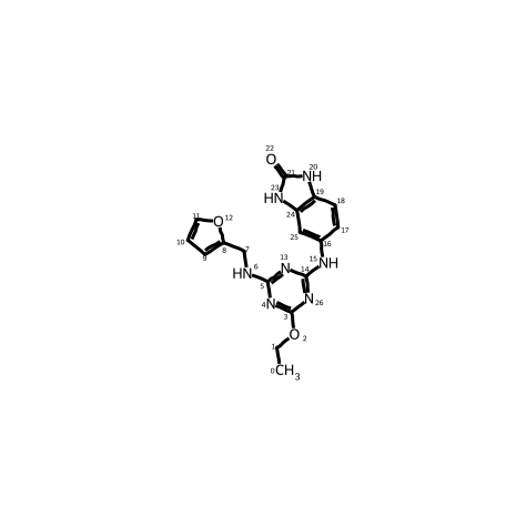 CCOc1nc(NCc2ccco2)nc(Nc2ccc3[nH]c(=O)[nH]c3c2)n1